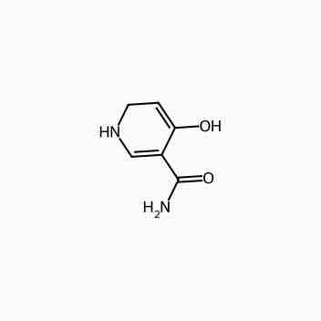 NC(=O)C1=CNCC=C1O